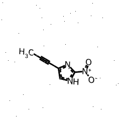 CC#Cc1c[nH]c([N+](=O)[O-])n1